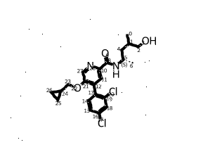 CC(CO)C[C@H](C)NC(=O)c1cc(-c2ccc(Cl)cc2Cl)c(OCC2CC2)cn1